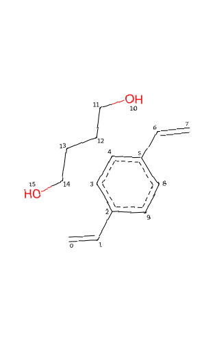 C=Cc1ccc(C=C)cc1.OCCCCO